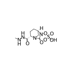 CNNC(=O)[C@@H]1CC[C@@H]2CN1C(=O)N2OS(=O)(=O)O